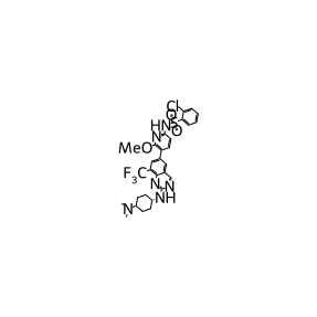 COc1nc(NS(=O)(=O)c2ccccc2Cl)ccc1-c1cc(C(F)(F)F)c2nc(N[C@H]3CC[C@H](N(C)C)CC3)ncc2c1